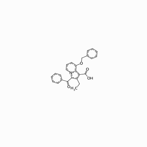 CCc1c(C(=O)O)c2c(OCc3ccccc3)cccn2c1C(=O)c1ccccc1